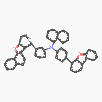 c1cc(-c2cccc3oc4c5ccccc5ccc4c23)cc(N(c2ccc(-c3cccc4c3oc3ccccc34)cc2)c2cccc3ccccc23)c1